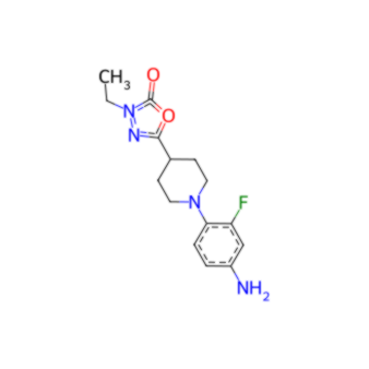 CCn1nc(C2CCN(c3ccc(N)cc3F)CC2)oc1=O